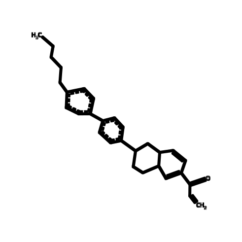 C=CC(=O)C1=CC2CCC(c3ccc(-c4ccc(CCCCC)cc4)cc3)CC2C=C1